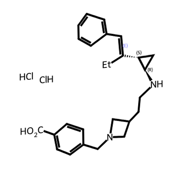 CC/C(=C\c1ccccc1)[C@@H]1C[C@H]1NCCC1CN(Cc2ccc(C(=O)O)cc2)C1.Cl.Cl